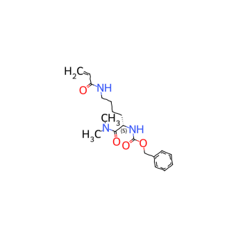 C=CC(=O)NCCCC[C@H](NC(=O)OCc1ccccc1)C(=O)N(C)C